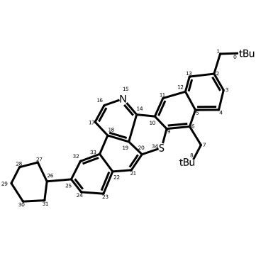 CC(C)(C)Cc1ccc2c(CC(C)(C)C)c3c(cc2c1)-c1nccc2c1c(cc1ccc(C4CCCCC4)cc12)S3